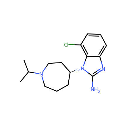 CC(C)N1CCC[C@@H](n2c(N)nc3cccc(Cl)c32)CC1